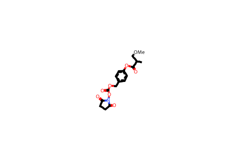 COCC(C)C(=O)Oc1ccc(COC(=O)ON2C(=O)CCC2=O)cc1